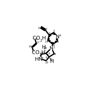 C#Cc1cncc(N2C[C@H]3CNC[C@H]32)c1.O=C(O)/C=C/C(=O)O